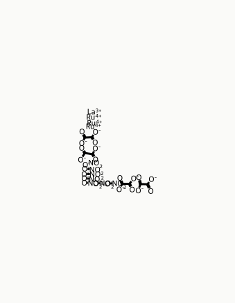 O=C([O-])C(=O)[O-].O=C([O-])C(=O)[O-].O=C([O-])C(=O)[O-].O=C([O-])C(=O)[O-].O=[N+]([O-])[O-].O=[N+]([O-])[O-].O=[N+]([O-])[O-].O=[N+]([O-])[O-].O=[N+]([O-])[O-].O=[N+]([O-])[O-].O=[N+]([O-])[O-].[La+3].[Ru+4].[Ru+4].[Ru+4]